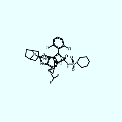 O=C(NS(=O)(=O)N1CCCCC1)c1cc(OC(F)F)c2nc(N3C4CCC3CC(NCc3c(-c5c(Cl)cccc5Cl)noc3C3CC3)C4)sc2c1